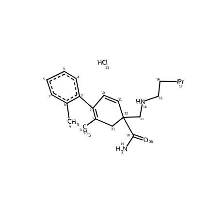 CC1=C(c2ccccc2C)C=CC(CNCCC(C)C)(C(N)=O)C1.Cl